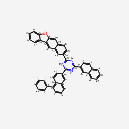 c1ccc(-c2cccc3cc(-c4nc(-c5ccc6ccccc6c5)nc(-c5ccc6cc7oc8ccccc8c7cc6c5)n4)ccc23)cc1